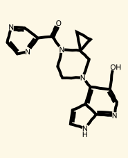 O=C(c1cnccn1)N1CCN(c2c(O)cnc3[nH]ccc23)CC12CC2